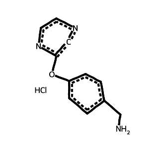 Cl.NCc1ccc(Oc2cnccn2)cc1